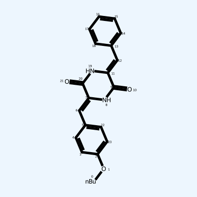 CCCCOc1ccc(/C=c2\[nH]c(=O)/c(=C/c3ccccc3)[nH]c2=O)cc1